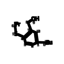 CCC(C)c1ccc(SC(C)C)c(CO)c1